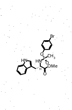 COC(=O)[C@H](Cc1c[nH]c2ccccc12)NP(C)(=O)Oc1ccc(Br)cc1